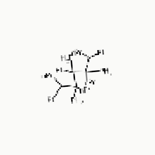 CCCC(CC)C(P)(CCC)C(P)(CC)C(P)(CCC)C(CC)CCC